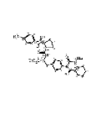 CCOC(=O)[C@H](Cc1ccc(N(C(=O)OC(C)(C)C)C(=O)[C@@H]2CCCCN2)cc1)NC(=O)[C@@H]1CCCN1S(=O)(=O)c1ccc(C)cc1